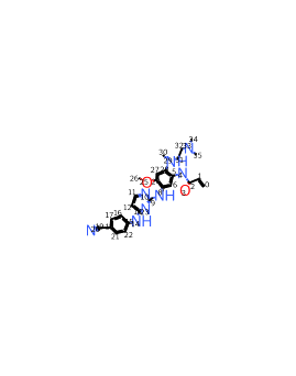 C=CC(=O)Nc1cc(Nc2nccc(Nc3ccc(C#N)cc3)n2)c(OC)cc1N(C)CCN(C)C